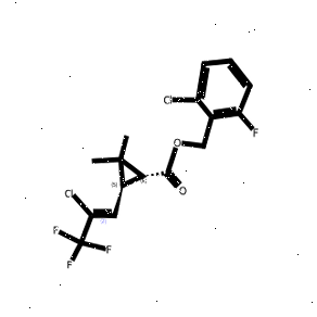 CC1(C)[C@H](/C=C(\Cl)C(F)(F)F)[C@H]1C(=O)OCc1c(F)cccc1Cl